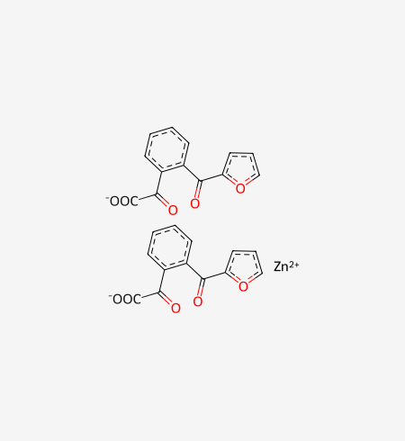 O=C([O-])C(=O)c1ccccc1C(=O)c1ccco1.O=C([O-])C(=O)c1ccccc1C(=O)c1ccco1.[Zn+2]